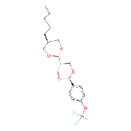 CCCCC[C@H]1CO[C@H]([C@H]2CO[C@H](c3ccc(OC(F)(F)F)cc3)OC2)OC1